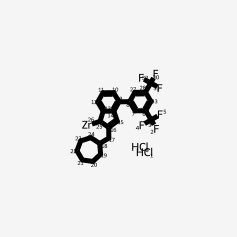 Cl.Cl.FC(F)(F)c1cc(-c2cccc3c2C=C(CC2CCCCCC2)[CH]3[Zr])cc(C(F)(F)F)c1